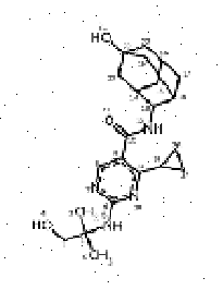 CC(C)(CO)Nc1ncc(C(=O)NC2C3CC4CC2CC(O)(C4)C3)c(C2CC2)n1